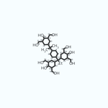 CCC(C1CCC(C(C)(C)C2CC(CO)C(O)C(CO)C2)CC1)(C1CC(CO)C(O)C(CO)C1)C1CC(CO)C(O)C(CO)C1